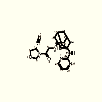 N#C[C@H]1COCN1C(=O)CNC12CC3CC(C1)CC(Nc1ncccn1)(C3)C2